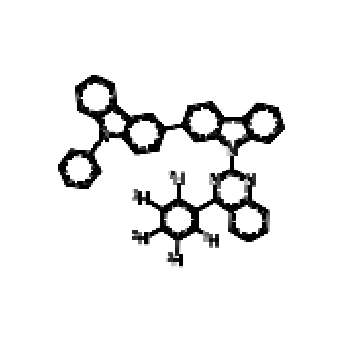 [2H]c1c([2H])c([2H])c(-c2nc(-n3c4ccccc4c4ccc(-c5ccc6c(c5)c5ccccc5n6-c5ccccc5)cc43)nc3ccccc23)c([2H])c1[2H]